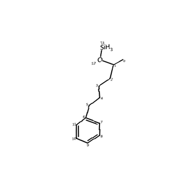 CC(CCCCc1ccccc1)O[SiH3]